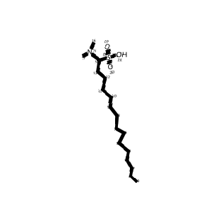 CCCCCCCCCCCCCCC(N(C)C)S(=O)(=O)O